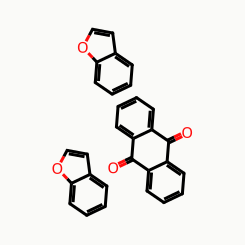 O=C1c2ccccc2C(=O)c2ccccc21.c1ccc2occc2c1.c1ccc2occc2c1